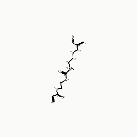 C=CC(=O)OCCOC(=O)NCCOCC(=C)C=O